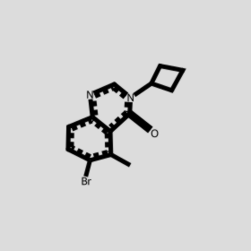 Cc1c(Br)ccc2ncn(C3CCC3)c(=O)c12